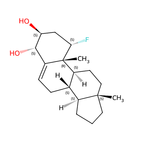 C[C@@]12CCC[C@H]1[C@@H]1CC=C3[C@H](O)[C@@H](O)C[C@H](F)[C@]3(C)[C@H]1CC2